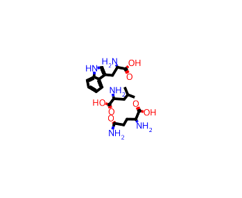 CC(C)CC(N)C(=O)O.NC(=O)CCC(N)C(=O)O.NC(Cc1c[nH]c2ccccc12)C(=O)O